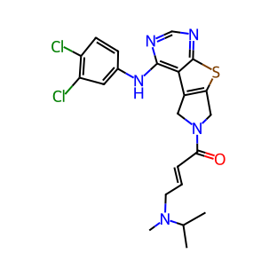 CC(C)N(C)CC=CC(=O)N1Cc2sc3ncnc(Nc4ccc(Cl)c(Cl)c4)c3c2C1